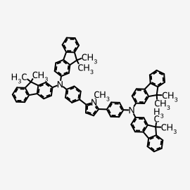 Cn1c(-c2ccc(N(c3ccc4c(c3)C(C)(C)c3ccccc3-4)c3ccc4c(c3)C(C)(C)c3ccccc3-4)cc2)ccc1-c1ccc(N(c2ccc3c(c2)C(C)(C)c2ccccc2-3)c2ccc3c(c2)C(C)(C)c2ccccc2-3)cc1